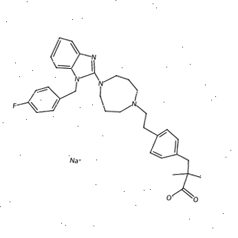 CC(C)(Cc1ccc(CCN2CCCN(c3nc4ccccc4n3Cc3ccc(F)cc3)CCC2)cc1)C(=O)[O-].[Na+]